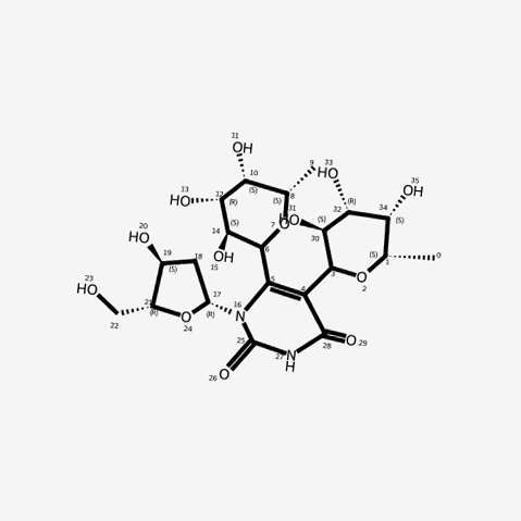 C[C@@H]1OC(c2c(C3O[C@@H](C)[C@@H](O)[C@@H](O)[C@@H]3O)n([C@H]3C[C@H](O)[C@@H](CO)O3)c(=O)[nH]c2=O)[C@@H](O)[C@H](O)[C@@H]1O